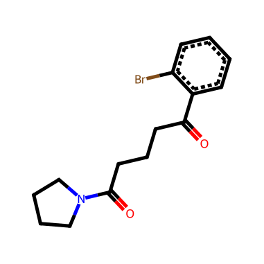 O=C(CCCC(=O)N1CCCC1)c1ccccc1Br